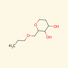 CCCOCC1OCCC(O)C1O